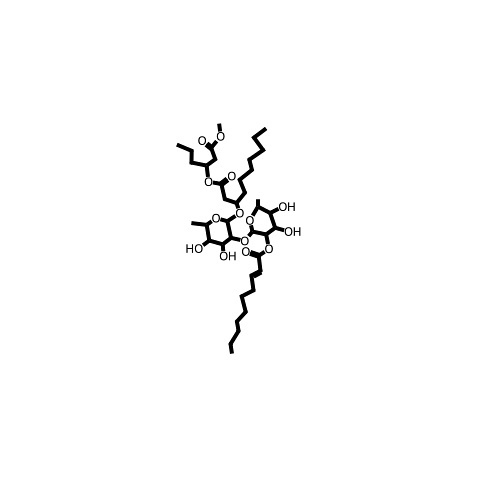 CCCCCCCC=CC(=O)OC1C(OC2C(OC(CCCCCCC)CC(=O)OC(CCC)CC(=O)OC)OC(C)C(O)C2O)OC(C)C(O)C1O